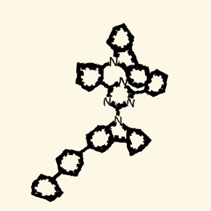 c1ccc(-c2ccc(-c3ccc4c(c3)c3ccccc3n4-c3nc(-c4ccccc4)nc(-c4ccccc4-n4c5ccccc5c5ccccc54)n3)cc2)cc1